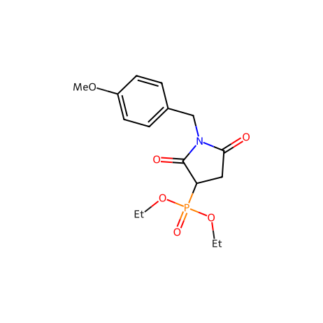 CCOP(=O)(OCC)C1CC(=O)N(Cc2ccc(OC)cc2)C1=O